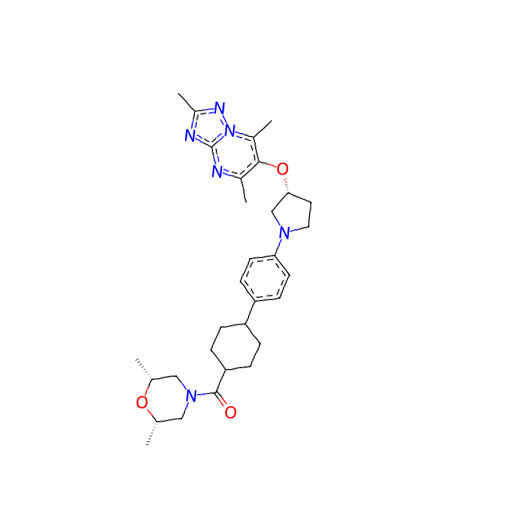 Cc1nc2nc(C)c(O[C@@H]3CCN(c4ccc(C5CCC(C(=O)N6C[C@@H](C)O[C@@H](C)C6)CC5)cc4)C3)c(C)n2n1